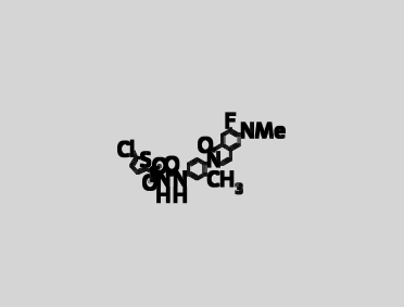 CNc1cc2ccn(-c3ccc(NC(=O)NS(=O)(=O)c4ccc(Cl)s4)cc3C)c(=O)c2cc1F